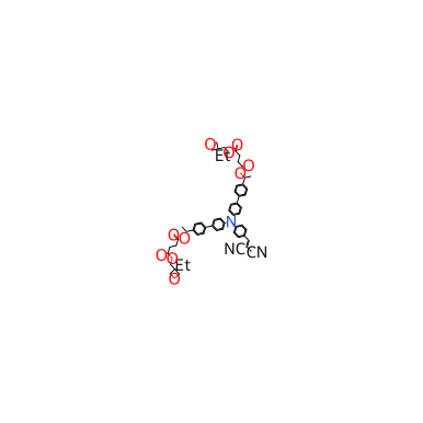 CCC1(COC(=O)CCC(=O)OC(C)c2ccc(-c3ccc(N(c4ccc(C=C(C#N)C#N)cc4)c4ccc(-c5ccc(C(C)OC(=O)CCC(=O)OCC6(CC)COC6)cc5)cc4)cc3)cc2)COC1